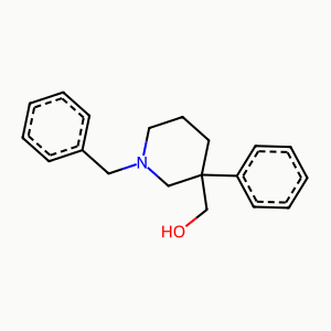 OCC1(c2ccccc2)CCCN(Cc2ccccc2)C1